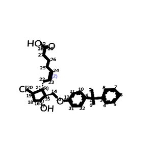 CC(C)(c1ccccc1)c1ccc(OC[C@H]2[C@H](O)CC(Cl)[C@@H]2C/C=C\CCCC(=O)O)cc1